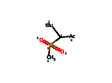 CC(=O)C(C(C)(C)C)S(C)(=O)=O